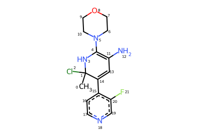 CC1(Cl)NC(N2CCOCC2)=C(N)C=C1c1ccncc1F